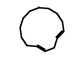 [CH]1CCC/C=C/C/C=C/CCCCC1